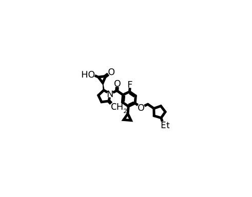 C=C1CCC([C@@H]2C(=O)C2O)N1C(=O)c1cc(C2CC2)c(OCC2CCC(CC)C2)cc1F